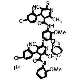 CN1CCOCC1.COc1ccccc1NC(=O)C1C(C)=NC([S-])=C(C#N)C1c1ccc(Cl)cc1Cl.COc1ccccc1NC(=O)C1C(C)=NC([S-])=C(C#N)C1c1ccc(Cl)cc1Cl.[H+].[H+]